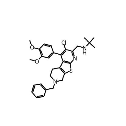 COc1ccc(-c2c(Cl)c(CNC(C)(C)C)nc3sc4c(c23)CCN(Cc2ccccc2)C4)cc1OC